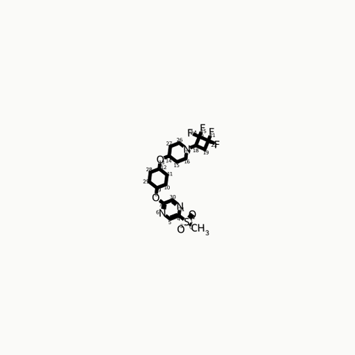 CS(=O)(=O)c1cnc(OC2CCC(OC3CCN(C4CC(F)(F)C4(F)F)CC3)CC2)cn1